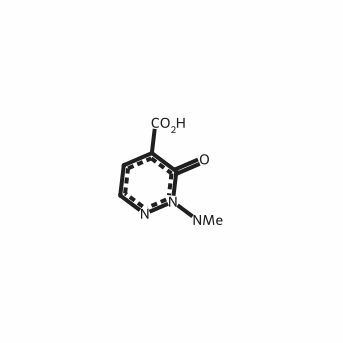 CNn1nccc(C(=O)O)c1=O